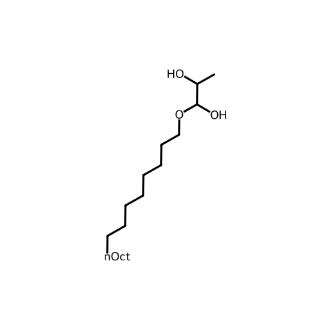 CCCCCCCCCCCCCCCCOC(O)C(C)O